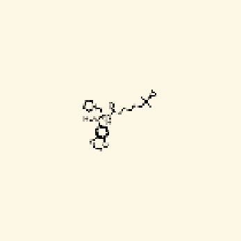 CC(C)(CCCCCC(=O)N[C@H](CN1CCCC1)[C@H](O)c1ccc2c(c1)OCCO2)C1CC1